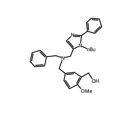 CCCCn1c(CN(Cc2ccccc2)Cc2ccc(OC)c(CO)c2)cnc1-c1ccccc1